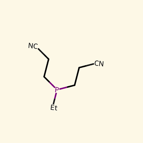 CCP(CCC#N)CCC#N